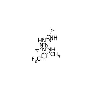 CC(Nc1nc(Nc2cc(C3CC3)[nH]n2)nc(C2CC2)n1)c1ccc(C(F)(F)F)cc1